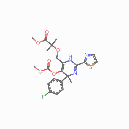 COC(=O)OC1=C(COC(C)(C)C(=O)OC)NC(c2nccs2)=NC1(C)c1ccc(F)cc1